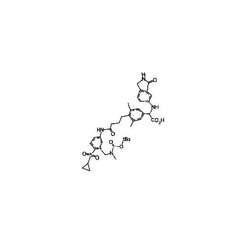 Cc1cc(C(Nc2ccc3c(c2)C(=O)NC3)C(=O)O)cc(C)c1CCCC(=O)Nc1ccc(S(=O)(=O)C2CC2)c(CN(C)C(=O)OC(C)(C)C)c1